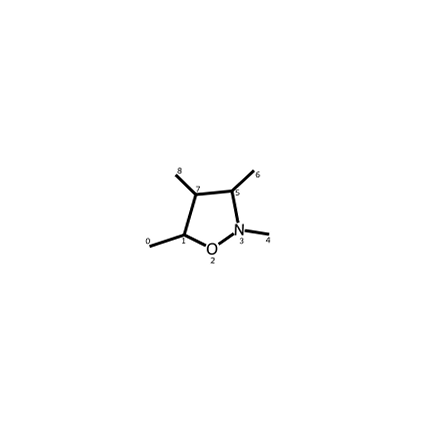 CC1ON(C)C(C)C1C